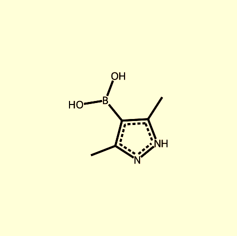 Cc1n[nH]c(C)c1B(O)O